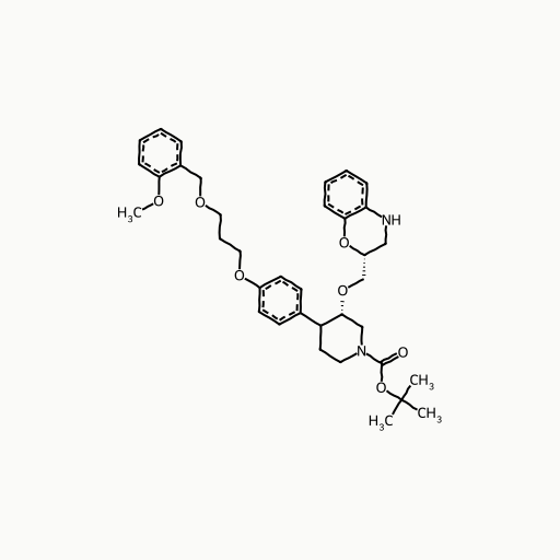 COc1ccccc1COCCCOc1ccc(C2CCN(C(=O)OC(C)(C)C)C[C@H]2OC[C@H]2CNc3ccccc3O2)cc1